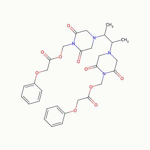 CC(C(C)N1CC(=O)N(COC(=O)COc2ccccc2)C(=O)C1)N1CC(=O)N(COC(=O)COc2ccccc2)C(=O)C1